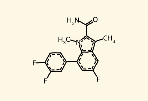 Cc1c(C(N)=O)n(C)c2c(-c3ccc(F)c(F)c3)cc(F)cc12